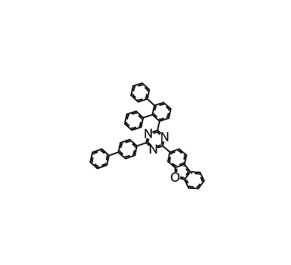 c1ccc(-c2ccc(-c3nc(-c4ccc5c(c4)oc4ccccc45)nc(-c4cccc(-c5ccccc5)c4-c4ccccc4)n3)cc2)cc1